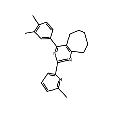 Cc1cccc(-c2nc3c(c(-c4ccc(C)c(C)c4)n2)CCCCC3)n1